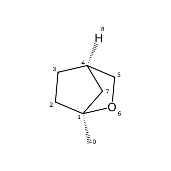 C[C@@]12CC[C@@H](CO1)C2